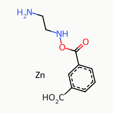 NCCNOC(=O)c1cccc(C(=O)O)c1.[Zn]